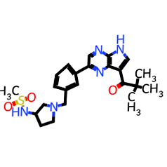 CC(C)(C)C(=O)c1c[nH]c2ncc(-c3cccc(CN4CCC(NS(C)(=O)=O)C4)c3)nc12